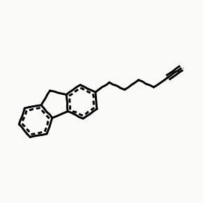 [C]#CCCCCc1ccc2c(c1)Cc1ccccc1-2